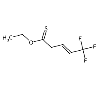 CCOC(=S)CC=CC(F)(F)F